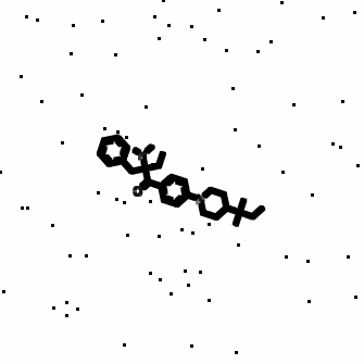 CCC(C)(C)C1CCN(c2ccc(C(=O)C(CC)(Cc3ccccc3)N(C)C)cc2)CC1